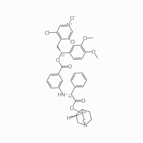 COc1ccc([C@H](Cc2c(Cl)c[n+]([O-])cc2Cl)OC(=O)c2cccc(N[C@@H](C(=O)O[C@H]3CN4CCC3CC4)c3ccccc3)c2)cc1OC